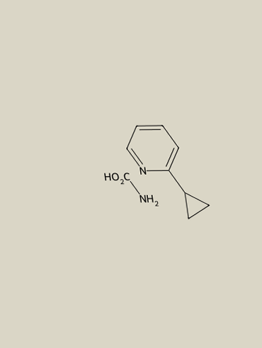 NC(=O)O.c1ccc(C2CC2)nc1